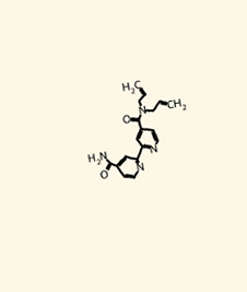 C=CCN(CC=C)C(=O)c1ccnc(-c2cc(C(N)=O)ccn2)c1